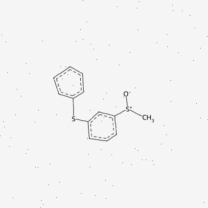 C[S+]([O-])c1cc[c]c(Sc2ccccc2)c1